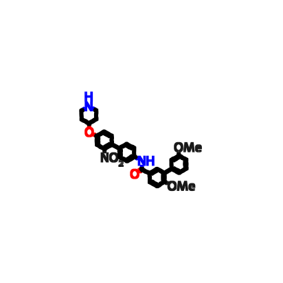 COc1cccc(-c2cc(C(=O)Nc3ccc(-c4ccc(OC5CCNCC5)cc4[N+](=O)[O-])cc3)ccc2OC)c1